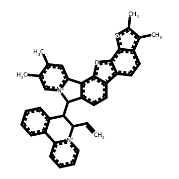 C=CC1C(C2c3ccc4c(oc5c4ccc4c(C)c(C)sc45)c3-c3cc(C)c(C)c[n+]32)c2ccccc2-c2cccc[n+]21